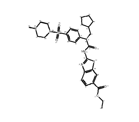 CCOC(=O)c1ccc2nc(NC(=O)[C@H](CC3CCCC3)c3ccc(S(=O)(=O)N4CCN(C)CC4)cc3)sc2c1